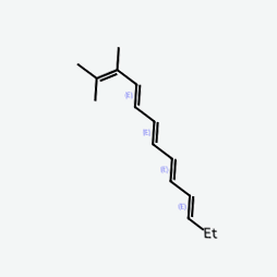 CC/C=C/C=C/C=C/C=C/C(C)=C(C)C